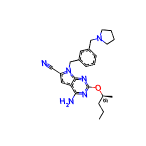 CCC[C@H](C)Oc1nc(N)c2cc(C#N)n(Cc3cccc(CN4CCCC4)c3)c2n1